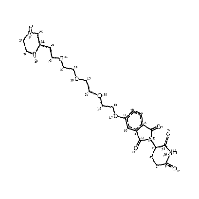 O=C1CCC(N2C(=O)c3ccc(OCCOCCOCCOCCC4CNCCO4)cc3C2=O)C(=O)N1